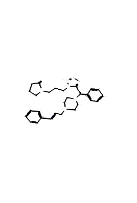 O=C1CCCN1CCCn1nnnc1C(c1ccccc1)N1CCN(C/C=C/c2ccccc2)CC1